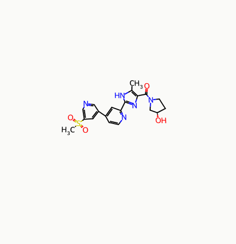 Cc1[nH]c(-c2cc(-c3cncc(S(C)(=O)=O)c3)ccn2)nc1C(=O)N1CC[C@@H](O)C1